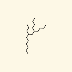 CCCCCCC(CCC)CC(CCCC)CCCC